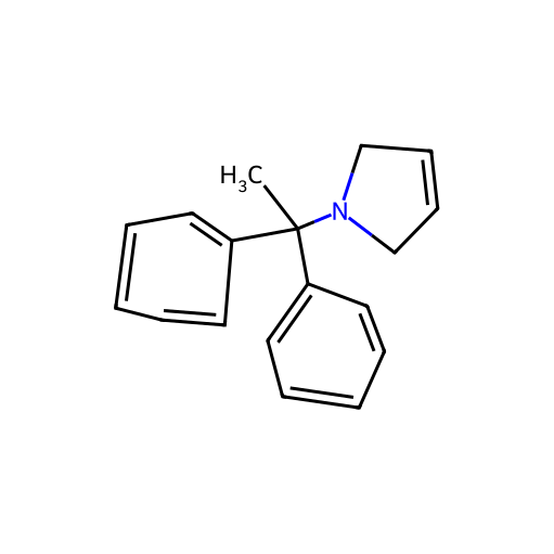 CC(c1ccccc1)(c1ccccc1)N1CC=CC1